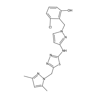 Cc1cc(C)n(Cc2nnc(Nc3ccn(Cc4c(O)cccc4Cl)n3)s2)n1